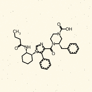 CCCC(=O)N[C@@H]1CCCC[C@@H]1n1cnc(C(=O)N2CCN(C(=O)O)C[C@H]2Cc2ccccc2)c1-c1ccccc1